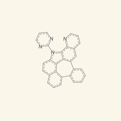 c1cnc(-n2c3ccc4cccc5c4c3c3c(cc4cccnc4c32)-c2ccccc2-5)nc1